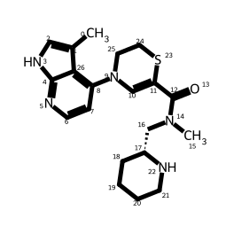 Cc1c[nH]c2nccc(N3C=C(C(=O)N(C)C[C@H]4CCCCN4)SCC3)c12